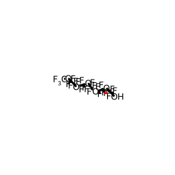 OC(F)(F)C(F)(F)OC(F)(F)C(F)(F)OC(F)(F)C(F)(F)OC(F)(F)C(F)(F)OC(F)(F)C(F)(F)OC(F)(F)F